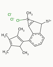 CC1=C(C)C(C)C(c2cccc3c2C2=C([CH]3[Ti+2])[Si]2(C)Cl)=C1C.[Cl-].[Cl-]